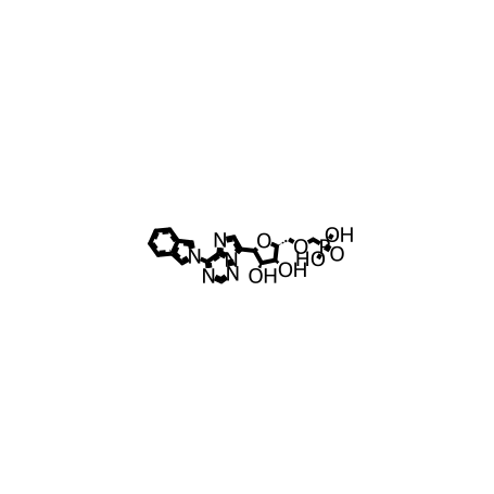 O=P(O)(O)COC[C@H]1OC(c2cnc3c(-n4cc5ccccc5c4)ncnn23)[C@H](O)[C@@H]1O